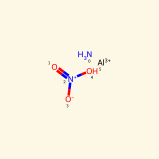 N.O=[N+]([O-])O.[Al+3]